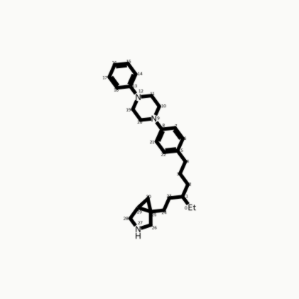 CCC(CCCc1ccc(N2CCN(c3ccccc3)CC2)cc1)CCC12CNCC1C2